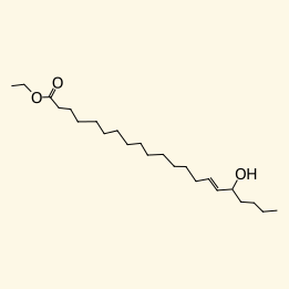 CCCCC(O)C=CCCCCCCCCCCCCCC(=O)OCC